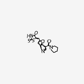 O=C1NC(=S)S/C1=C\c1cc2cncc(C(=O)N3CCCCC3)c2o1